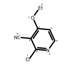 CCOc1ccnc(Cl)c1C#N